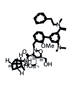 C=C(c1cc(-c2cccc(CN3O[C@@H](CO)[C@H]([C@H](C)O)[C@H]3C(=O)N[C@H]3C[C@H]4C[C@@H]([C@@H]3C)C4(C)C)c2OC)cc(N(C)C)c1)N(C)CCc1ccccc1